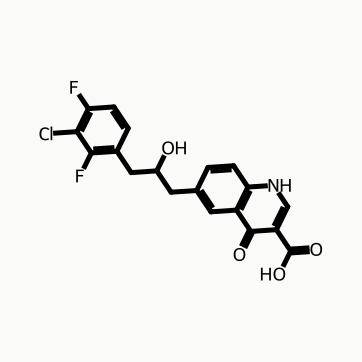 O=C(O)c1c[nH]c2ccc(CC(O)Cc3ccc(F)c(Cl)c3F)cc2c1=O